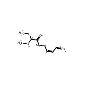 C=C/C=C\CNC(=O)C(OC)OC